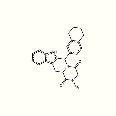 CC(C)N1CC(=O)N2C(Cc3c([nH]c4ccccc34)C2c2ccc3c(c2)CCCC3)C1=O